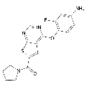 Nc1ccc(Oc2ncnc3sc(C(=O)N4CCCC4)cc23)c(F)c1